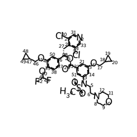 CS(=O)(=O)N(CCN1CCOCC1)c1cc(OCC2CC2)cc(C(=O)O[C@@H](Cc2c(Cl)cncc2Cl)c2ccc(OC(F)F)c(OCC3CC3)c2)c1